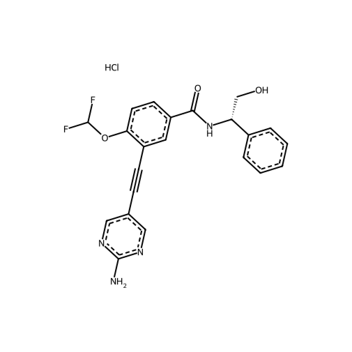 Cl.Nc1ncc(C#Cc2cc(C(=O)N[C@H](CO)c3ccccc3)ccc2OC(F)F)cn1